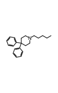 CCCCCN1CCC(c2ccccc2)(c2ccccc2)CC1